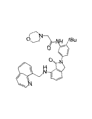 CC(C)(C)c1ccc(N2Cc3cccc(NCc4cccc5cccnc45)c3C2=O)cc1NC(=O)CN1CCOCC1